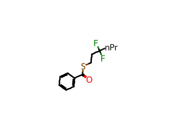 CCCC(F)(F)CCSC(=O)c1ccccc1